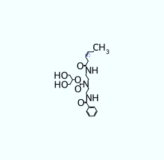 CC/C=C\CC(=O)NCCN(CCNC(=O)c1ccccc1)C(=O)OC(CO)CO